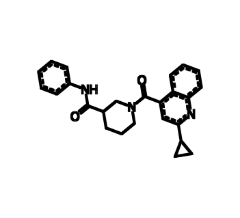 O=C(Nc1ccccc1)C1CCCN(C(=O)c2cc(C3CC3)nc3ccccc23)C1